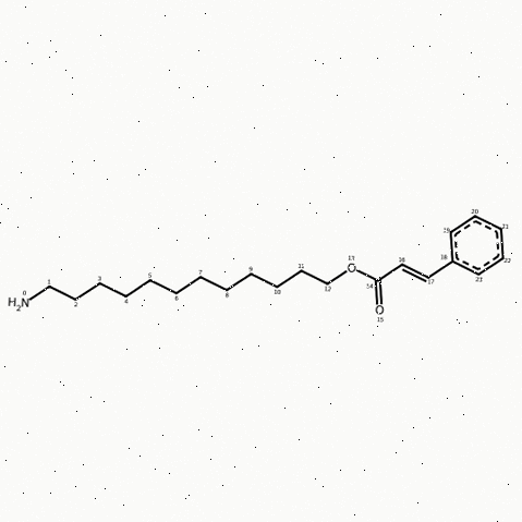 NCCCCCCCCCCCCOC(=O)C=Cc1ccccc1